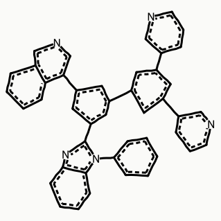 c1ccc(-n2c(-c3cc(-c4cc(-c5cccnc5)cc(-c5cccnc5)c4)cc(-c4cncc5ccccc45)c3)nc3ccccc32)cc1